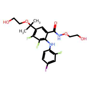 CC(C)(OCCO)c1cc(C(=O)NOCCO)c(Nc2ccc(I)cc2F)c(F)c1F